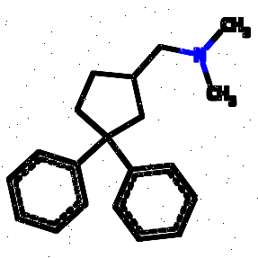 CN(C)CC1CCC(c2ccccc2)(c2ccccc2)C1